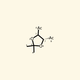 CC(=O)C1OC(C)(C)O[C@H]1C(C)=O